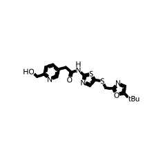 CC(C)(C)c1cnc(CSc2cnc(NC(=O)Cc3ccc(CO)nc3)s2)o1